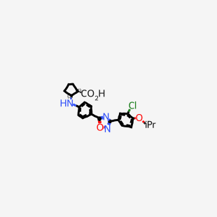 CC(C)Oc1ccc(-c2noc(-c3ccc(N[C@H]4CCC[C@@H]4C(=O)O)cc3)n2)cc1Cl